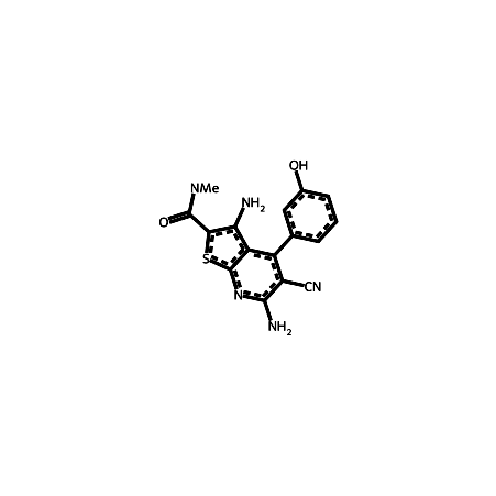 CNC(=O)c1sc2nc(N)c(C#N)c(-c3cccc(O)c3)c2c1N